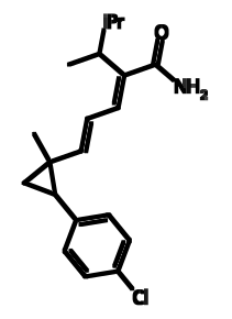 CC(C)C(C)/C(=C\C=C\C1(C)CC1c1ccc(Cl)cc1)C(N)=O